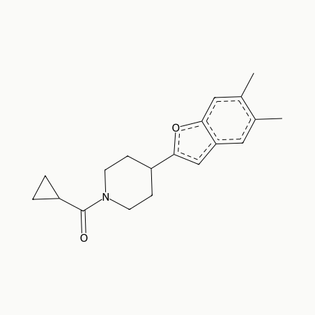 Cc1cc2cc(C3CCN(C(=O)C4CC4)CC3)oc2cc1C